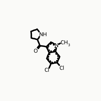 Cn1cc(C(=O)C2CCCN2)c2cc(Cl)c(Cl)cc21